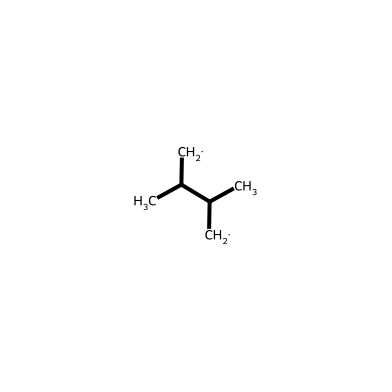 [CH2]C(C)C([CH2])C